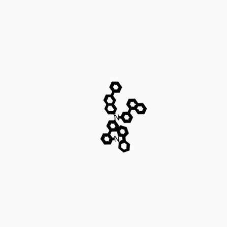 C1=Cc2c(n(-c3ccccc3-c3ccc(N(C4=CCC5C=CC(c6ccccc6)=CC5=C4)c4cccc(-c5cccc6ccccc56)c4)cc3)c3ccccc23)CC1